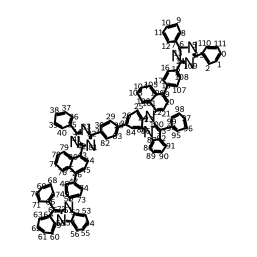 c1ccc(-c2nc(-c3ccccc3)nc(-c3ccc(-c4ccc(-n5c6ccc(-c7ccc(-c8nc(-c9ccccc9)nc(-c9ccc(-c%10ccc(-n%11c%12ccccc%12n%12c%13ccccc%13c(-c%13ccccc%13)c%11%12)cc%10)c%10ccccc9%10)n8)cc7)cc6n6c7ccccc7c(-c7ccccc7)c56)c5ccccc45)cc3)n2)cc1